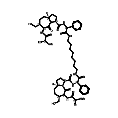 CC[C@H](NC)C(=O)N[C@@H]1C(=O)N2[C@@H](CC[C@@H]1CO)CC[C@H]2C(=O)N[C@H](C(=O)NCCCCCCCCNC(=O)[C@@H](NC(=O)[C@@H]1CC[C@@H]2CC[C@H](CO)[C@H](NC(=O)[C@H](CC)NC)C(=O)N21)c1ccccc1)c1ccccc1